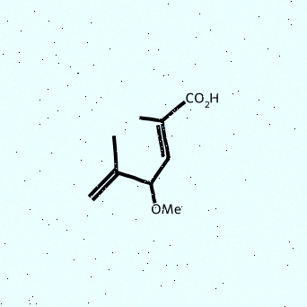 C=C(C)C(C=C(C)C(=O)O)OC